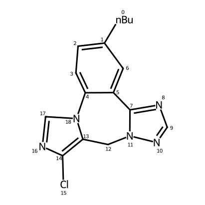 CCCCc1ccc2c(c1)-c1ncnn1Cc1c(Cl)ncn1-2